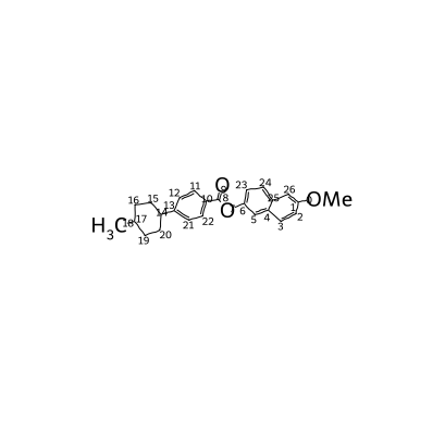 COc1ccc2cc(OC(=O)c3ccc(C4CCC(C)CC4)cc3)ccc2c1